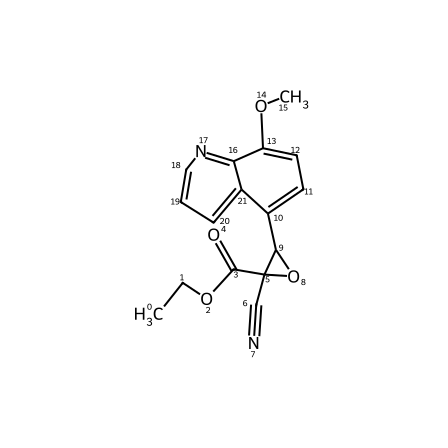 CCOC(=O)C1(C#N)OC1c1ccc(OC)c2ncccc12